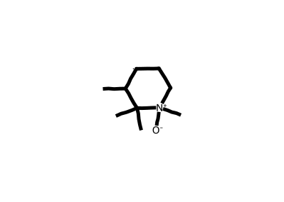 CC1[CH]CC[N+](C)([O-])C1(C)C